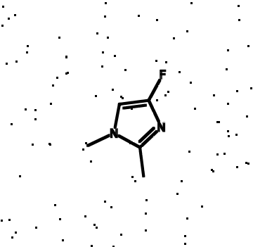 Cc1nc(F)cn1C